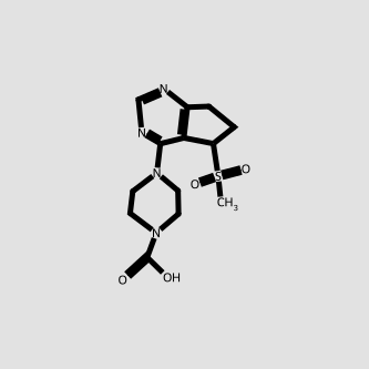 CS(=O)(=O)C1CCc2ncnc(N3CCN(C(=O)O)CC3)c21